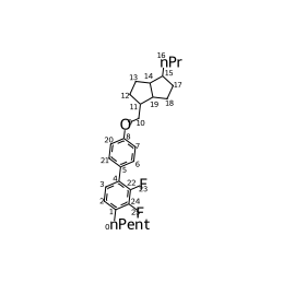 CCCCCc1ccc(-c2ccc(OCC3CCC4C(CCC)CCC34)cc2)c(F)c1F